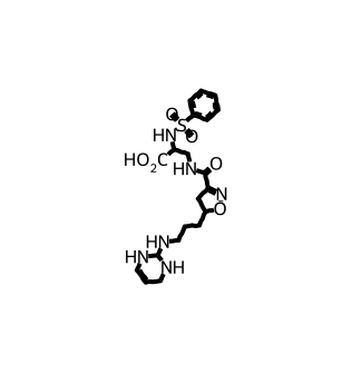 O=C(NCC(NS(=O)(=O)c1ccccc1)C(=O)O)C1=NOC(CCCNC2NC=CCN2)C1